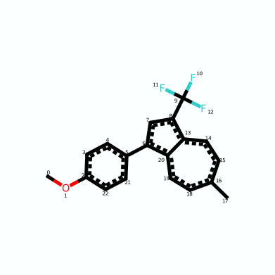 COc1ccc(-c2cc(C(F)(F)F)c3ccc(C)ccc2-3)cc1